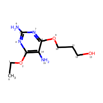 CCOc1nc(N)nc(OCCCO)c1N